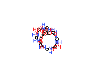 Cc1cc2c(O)c(c1)C(=O)Nc1cccc(c1)NC(=O)c1cc(C)cc3c1OCCOCC(C)(COC(=O)C(C)(C)Br)COCCOc1c(cc(C)cc1C(=O)Nc1cccc(c1)NC(=O)c1cc(C)cc(c1O)C(=O)Nc1cccc(c1)NC3=O)C(=O)Nc1cccc(c1)NC2=O